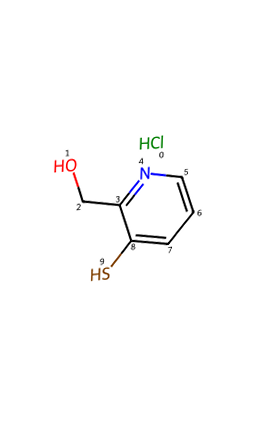 Cl.OCc1ncccc1S